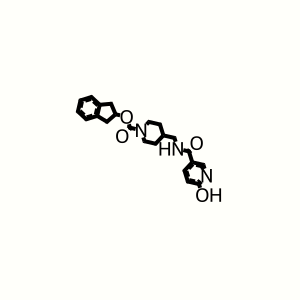 O=C(NCC1CCN(C(=O)OC2Cc3ccccc3C2)CC1)c1ccc(O)nc1